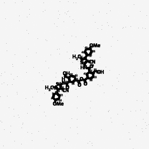 COc1ccc(-c2c(C)sc(NC(=O)c3cc(C(=O)OC(=O)c4ccc(CO)c(C(=O)Nc5sc(C)c(-c6ccc(OC)cc6)c5C#N)c4)ccc3CO)c2C#N)cc1